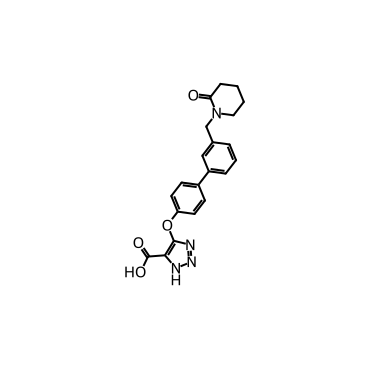 O=C(O)c1[nH]nnc1Oc1ccc(-c2cccc(CN3CCCCC3=O)c2)cc1